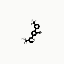 N#Cc1cc(-c2cc(C(=O)O)ccn2)ccc1-c1cccc(C(F)(F)F)c1